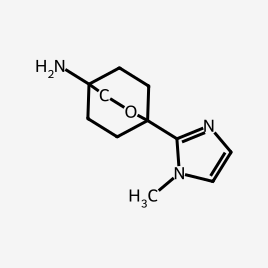 Cn1ccnc1C12CCC(N)(CC1)CO2